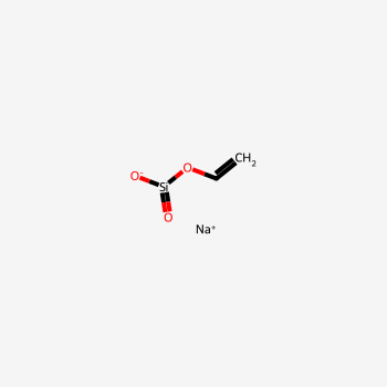 C=CO[Si](=O)[O-].[Na+]